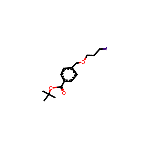 CC(C)(C)OC(=O)c1ccc(COCCCI)cc1